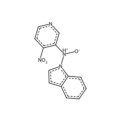 O=[N+]([O-])c1ccncc1[NH+]([O-])n1ccc2ccccc21